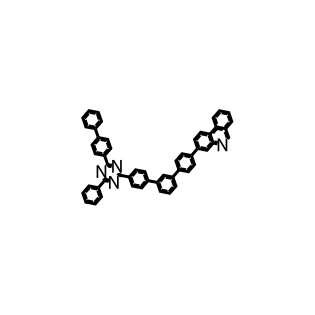 c1ccc(-c2ccc(-c3nc(-c4ccccc4)nc(-c4ccc(-c5cccc(-c6ccc(-c7ccc8c(c7)ncc7ccccc78)cc6)c5)cc4)n3)cc2)cc1